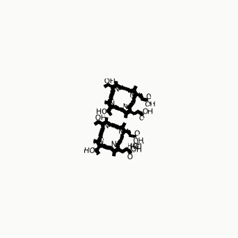 CC1=C(CCC(=O)O)c2cc3[nH]c(cc4nc(cc5[nH]c(cc1n2)c(C(C)O)c5C)C(C(C)O)=C4C)c(C)c3CCC(=O)O.CC1=C(CCC(=O)O)c2cc3[nH]c(cc4nc(cc5[nH]c(cc1n2)c(C(C)O)c5C)C(C(C)O)=C4C)c(C)c3CCC(=O)O.Cl.Cl